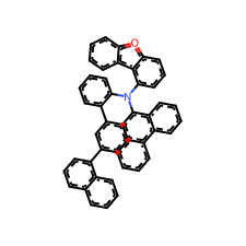 c1cc(-c2ccccc2N(c2cc3ccccc3c3ccccc23)c2cccc3oc4ccccc4c23)cc(-c2cccc3ccccc23)c1